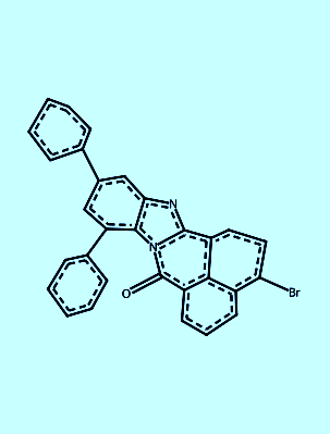 O=c1c2cccc3c(Br)ccc(c32)c2nc3cc(-c4ccccc4)cc(-c4ccccc4)c3n12